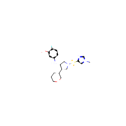 Cn1cnc(S(=O)(=O)N2C[C@@H]([C@@H]3CCCOC3)[C@H](Nc3ccc(F)c(OC(F)(F)F)c3)C2)c1